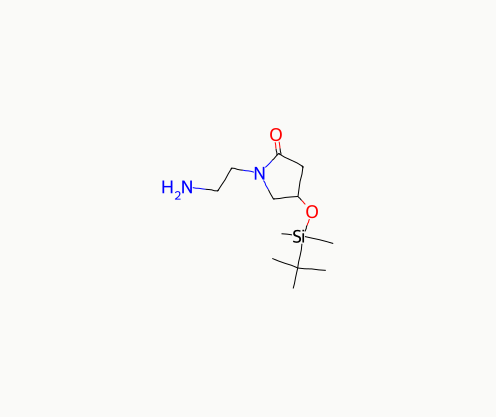 CC(C)(C)[Si](C)(C)OC1CC(=O)N(CCN)C1